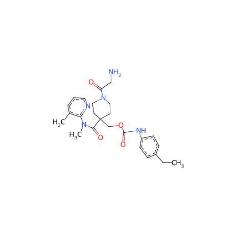 CCc1ccc(NC(=O)OCC2(C(=O)N(C)c3ncccc3C)CCN(C(=O)CN)CC2)cc1